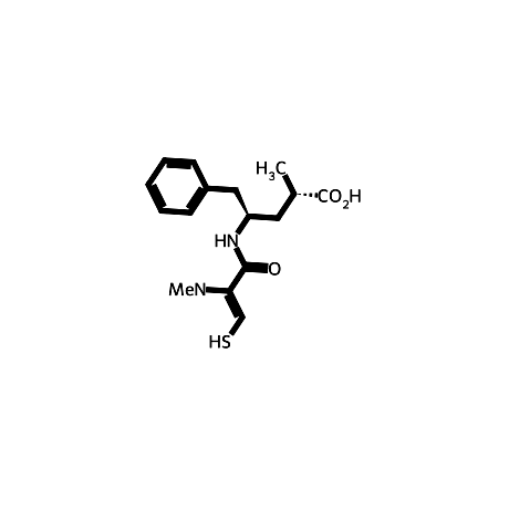 CN/C(=C\S)C(=O)N[C@@H](Cc1ccccc1)C[C@H](C)C(=O)O